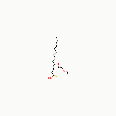 CCCCCCCCCC(CCCC(O)=S)OCCOCC